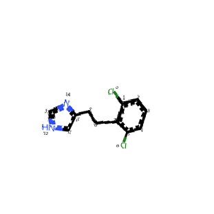 Clc1cccc(Cl)c1CCc1c[nH]cn1